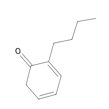 CCCCC1=CC=CCC1=O